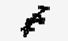 C[C@@H]1CC2C3C[C@H](F)C4=CC(=O)C=C[C@]4(C)[C@@]3(F)[C@@H](O)C[C@]2(C)[C@@]1(OC(=O)CCCON(O)O)C(=O)COC(=O)CCNC(=O)CCCON(O)O